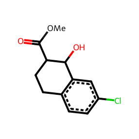 COC(=O)C1CCc2ccc(Cl)cc2C1O